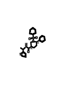 CC(NC(=O)[C@@H]1CC[C@H](c2ccccc2)N(S(=O)(=O)c2ccccc2)C1)c1cccs1